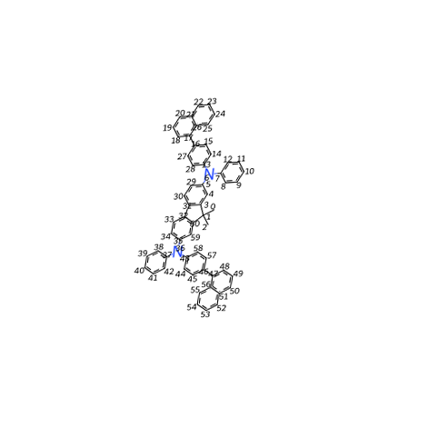 CC1(C)c2cc(N(c3ccccc3)c3ccc(-c4cccc5ccccc45)cc3)ccc2-c2ccc(N(c3ccccc3)c3ccc(-c4cccc5ccccc45)cc3)cc21